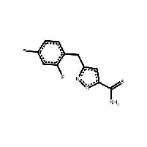 NC(=S)c1cc(Cc2ccc(F)cc2F)ns1